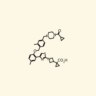 Cc1ccc(OCc2ccc(CN3CCN(C(=O)C4CC4)CC3)cc2C)c(-c2csc(N3CC(C4(C(=O)O)CC4)C3)n2)c1